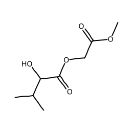 COC(=O)COC(=O)C(O)C(C)C